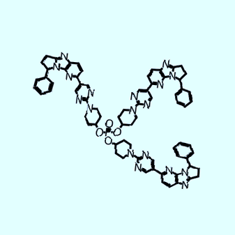 O=P(OC1CCN(c2ncc(-c3ccc4nc5n(c4n3)C(c3ccccc3)CC5)cn2)CC1)(OC1CCN(c2ncc(-c3ccc4nc5n(c4n3)C(c3ccccc3)CC5)cn2)CC1)OC1CCN(c2ncc(-c3ccc4nc5n(c4n3)C(c3ccccc3)CC5)cn2)CC1